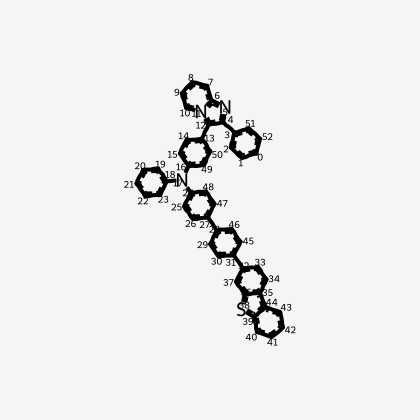 c1ccc(-c2nc3ccccn3c2-c2ccc(N(c3ccccc3)c3ccc(-c4ccc(-c5ccc6c(c5)sc5ccccc56)cc4)cc3)cc2)cc1